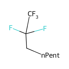 [CH2]CCCCCC(F)(F)C(F)(F)F